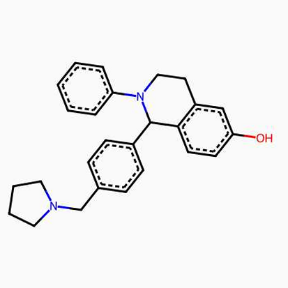 Oc1ccc2c(c1)CCN(c1ccccc1)C2c1ccc(CN2CCCC2)cc1